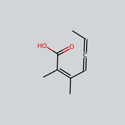 CC=C=CC(C)=C(C)C(=O)O